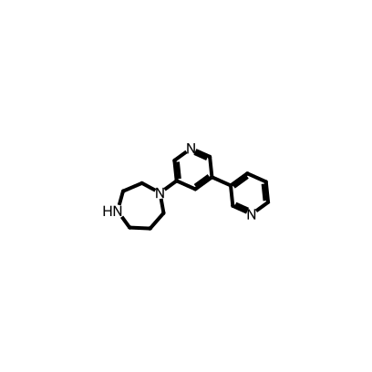 c1cncc(-c2cncc(N3CCCNCC3)c2)c1